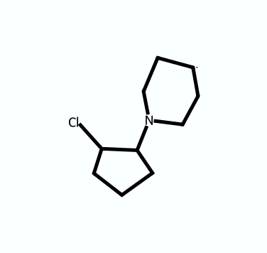 ClC1CCCC1N1CC[CH]CC1